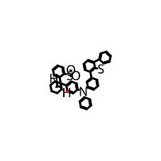 O=S1(=O)c2ccccc2C2(c3ccc(N(c4ccccc4)c4cccc(-c5cccc6c5sc5ccccc56)c4)cc31)[C@H]1CCC[C@@H]2CCC1